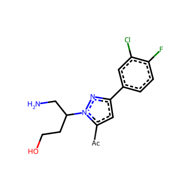 CC(=O)c1cc(-c2ccc(F)c(Cl)c2)nn1C(CN)CCO